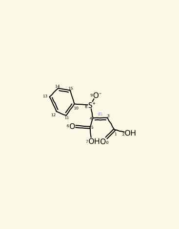 O=C(O)/C=C(\C(=O)O)[S+]([O-])c1ccccc1